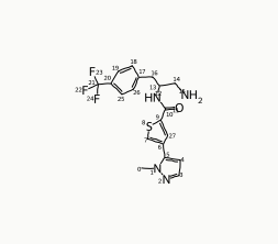 Cn1nccc1-c1csc(C(=O)NC(CN)Cc2ccc(C(F)(F)F)cc2)c1